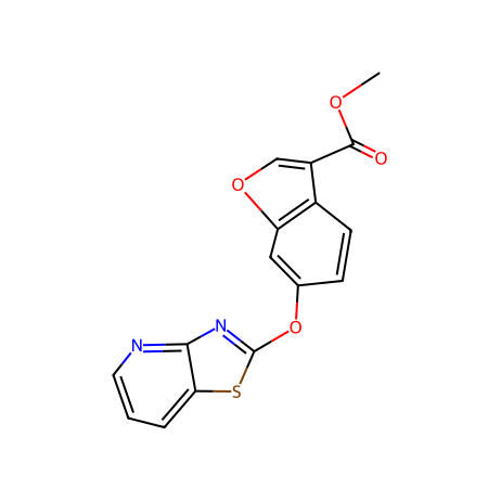 COC(=O)c1coc2cc(Oc3nc4ncccc4s3)ccc12